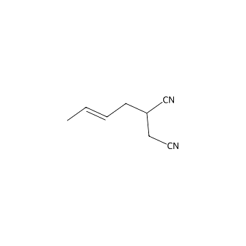 C/C=C/CC(C#N)CC#N